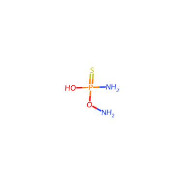 NOP(N)(O)=S